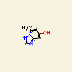 Cc1cc(O)cc2ncnn12